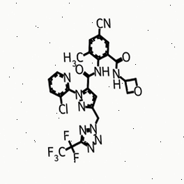 Cc1cc(C#N)cc(C(=O)NC2COC2)c1NC(=O)c1cc(Cn2nnc(C(F)(F)C(F)(F)F)n2)nn1-c1ncccc1Cl